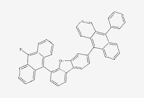 Fc1c2ccccc2c(-c2cccc3c2oc2cc(-c4c5ccccc5c(-c5ccccc5)c5ccccc45)ccc23)c2ccccc12